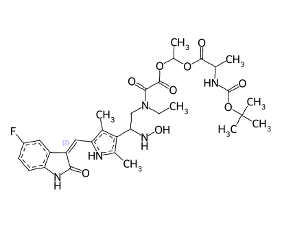 CCN(CC(NO)c1c(C)[nH]c(/C=C2\C(=O)Nc3ccc(F)cc32)c1C)C(=O)C(=O)OC(C)OC(=O)C(C)NC(=O)OC(C)(C)C